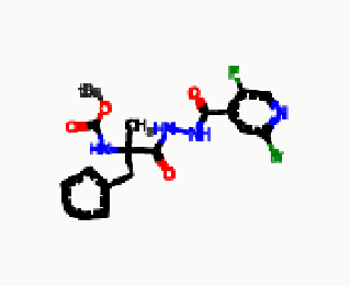 CC(C)(C)OC(=O)NC(C)(Cc1ccccc1)C(=O)NNC(=O)c1cc(Br)ncc1F